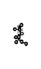 c1ccc(-c2ccc(N(c3ccccc3)c3cc4c5cccc(-c6nc(-c7ccccc7)c7oc8ccccc8c7n6)c5oc4c4ccccc34)cc2)cc1